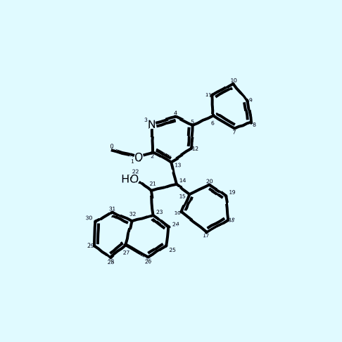 COc1ncc(-c2ccccc2)cc1C(c1ccccc1)C(O)c1cccc2ccccc12